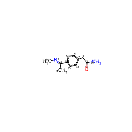 C/N=C(\C)c1ccc(CC(N)=O)cc1